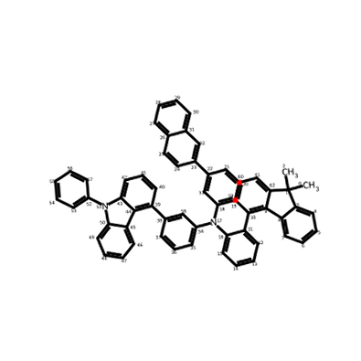 CC1(C)c2ccccc2-c2c(-c3ccccc3N(c3cccc(-c4ccc5ccccc5c4)c3)c3cccc(-c4cccc5c4c4ccccc4n5-c4ccccc4)c3)cccc21